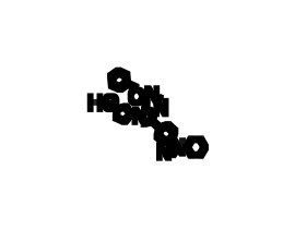 OC1CCC(n2cc(-c3ccc4c(c3)ncn4C3CCCCC3)c3ncnc(OCc4ccccc4)c32)C1